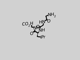 CC(C)C[C@H](NC(=O)CNC(=O)CN)C(=O)NCC(=O)O